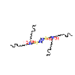 CC/C=C\C/C=C\C/C=C\CCCCCCC(O)CN(CCCSSCCN1CC(C)N(CCSSCCCN(CC(O)CCCCCC/C=C\C/C=C\C/C=C\CC)CC(O)CCCCCC/C=C\C/C=C\C/C=C\CC)CC1C)CC(O)CCCCCC/C=C\C/C=C\C/C=C\CC